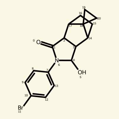 O=C1C2C(C(O)N1c1ccc(Br)cc1)C1CCC2C12CC2